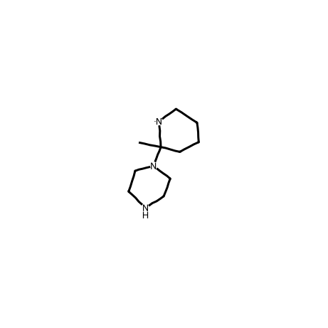 CC1(N2CCNCC2)CCCC[N]1